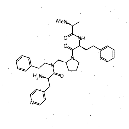 CN[C@@H](C)C(=O)N[C@@H](CCc1ccccc1)C(=O)N1CCC[C@H]1CN(CCc1ccccc1)C(=O)[C@H](N)Cc1ccncc1